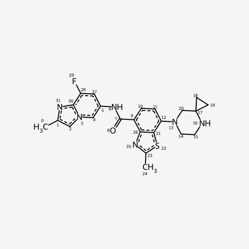 Cc1cn2cc(NC(=O)c3ccc(N4CCNC5(CC5)C4)c4sc(C)nc34)cc(F)c2n1